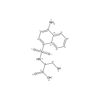 Nc1ccc(S(=O)(=O)NC(CS)C(=O)O)c2ccccc12